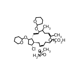 CC(C)=CCC(C)[C@@H](/C=C/[C@@H]1[C@@H](C/C=C\CCCC(=O)O)[C@H](Cl)C[C@H]1OC1CCCCO1)OC1CCCCO1.CS(N)(=O)=O